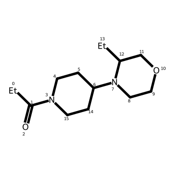 CCC(=O)N1CCC(N2CCOCC2CC)CC1